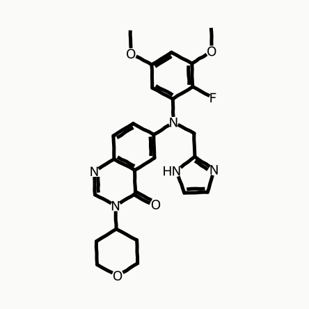 COc1cc(OC)c(F)c(N(Cc2ncc[nH]2)c2ccc3ncn(C4CCOCC4)c(=O)c3c2)c1